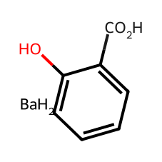 O=C(O)c1ccccc1O.[BaH2]